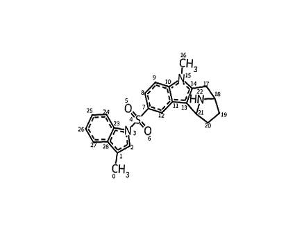 Cc1cn(S(=O)(=O)c2ccc3c(c2)c2c(n3C)CC3CCC2N3)c2ccccc12